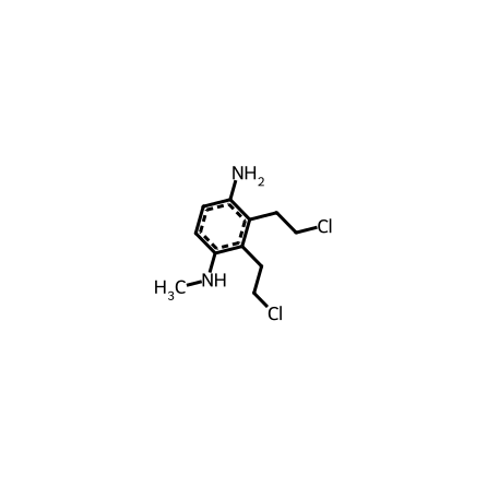 CNc1ccc(N)c(CCCl)c1CCCl